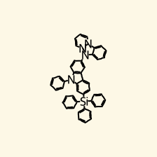 C1=CN2c3ccccc3N(c3ccc4c(c3)c3ccc([Si](c5ccccc5)(c5ccccc5)c5ccccc5)cc3n4-c3ccccc3)N2C=C1